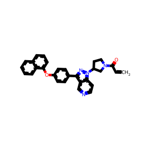 C=CC(=O)N1CCC(n2nc(-c3ccc(Oc4cccc5ccccc45)cc3)c3cnccc32)C1